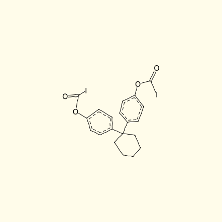 O=C(I)Oc1ccc(C2(c3ccc(OC(=O)I)cc3)CCCCC2)cc1